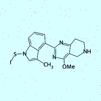 COc1nc(-c2cccc3c2c(C)cn3SI)nc2c1CNCC2